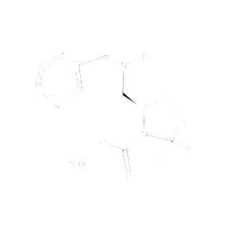 CCN(Cc1ccccc1)C[C@H]1COC(C)(C)N1C(=O)OC(C)(C)C